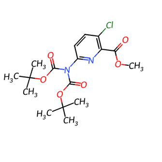 COC(=O)c1nc(N(C(=O)OC(C)(C)C)C(=O)OC(C)(C)C)ccc1Cl